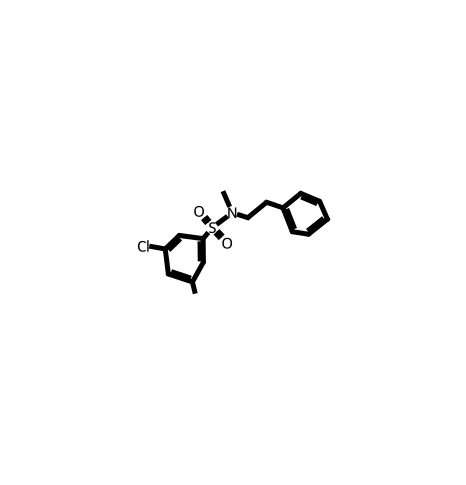 Cc1cc(Cl)cc(S(=O)(=O)N(C)CCc2ccccc2)c1